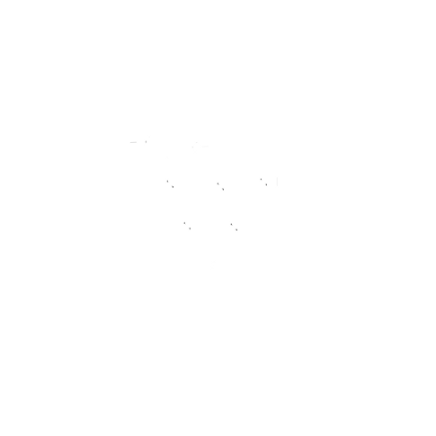 CC(C)Nc1nc(NC2CCCCCCC2)nc(-c2ccccc2)n1